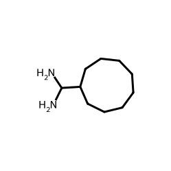 NC(N)C1CCCCCCCC1